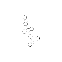 c1ccc(-c2nc3ccccc3n2-c2ccc(-c3c4ccccc4c(-c4ccc5c(c4)oc4ccccc45)c4ccccc34)cc2)cc1